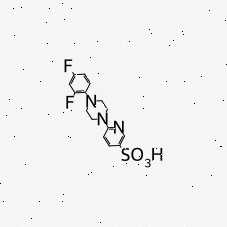 O=S(=O)(O)c1ccc(N2CCN(c3ccc(F)cc3F)CC2)nc1